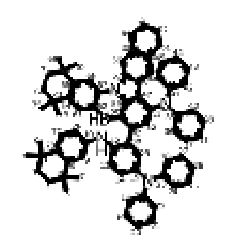 CC1(C)CCC(C)(C)c2cc(Nc3ccc(N(c4ccccc4)c4ccccc4)cc3-c3cc(N(c4ccccc4)c4ccccc4)c4c5cc6ccccc6cc5n5c4c3Bc3cc4c(cc3-5)C(C)(C)CCC4(C)C)ccc21